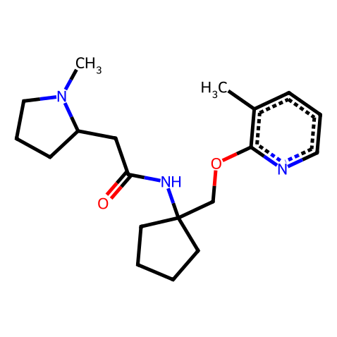 Cc1cccnc1OCC1(NC(=O)CC2CCCN2C)CCCC1